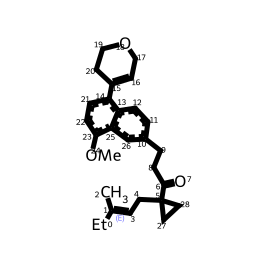 CC/C(C)=C/CC1(C(=O)CCc2ccc3c(C4=CCOCC4)ccc(OC)c3c2)CC1